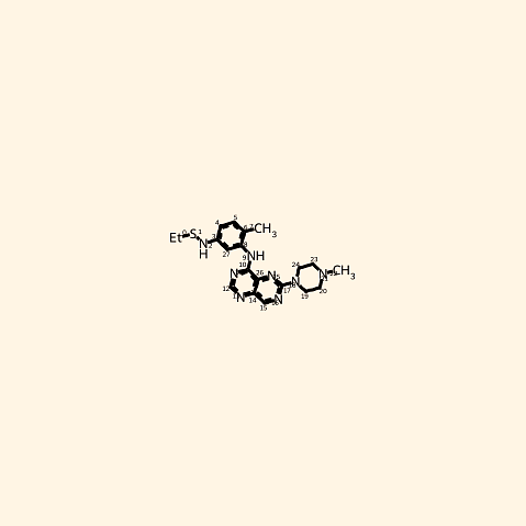 CCSNc1ccc(C)c(Nc2ncnc3cnc(N4CCN(C)CC4)nc23)c1